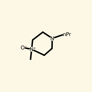 CCCN1CC[N+](C)([O-])CC1